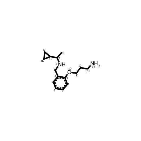 CC(NCc1ccccc1OCCCN)C1CC1